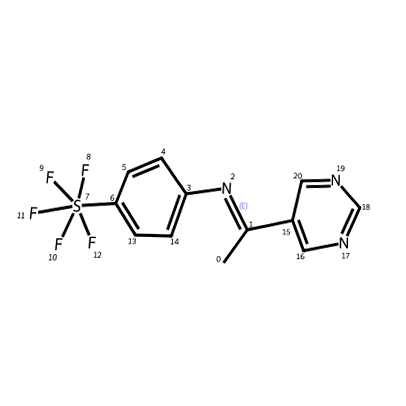 C/C(=N\c1ccc(S(F)(F)(F)(F)F)cc1)c1cncnc1